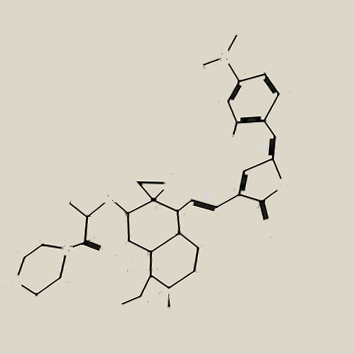 CC(NC1CC2[C@](C)(CC[C@@H](O)[C@@]2(C)CO)C(/C=C/C2=CC(=C\c3ccc(N(C)C)cc3O)/OC2=O)C12CO2)C(=O)N1CCOCC1